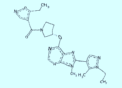 CCc1oncc1C(=O)N1CC[C@H](Oc2ncnc3c2nc(-c2cnn(CC)c2C)n3C)C1